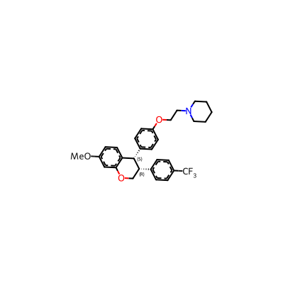 COc1ccc2c(c1)OC[C@@H](c1ccc(C(F)(F)F)cc1)[C@H]2c1ccc(OCCN2CCCCC2)cc1